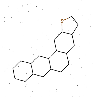 C1CCC2CC3C(CCC4CC5CCSC5CC43)CC2C1